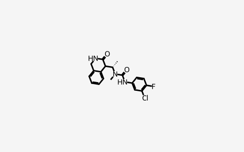 C[C@@H](C1C(=O)NCc2ccccc21)N(C)C(=O)Nc1ccc(F)c(Cl)c1